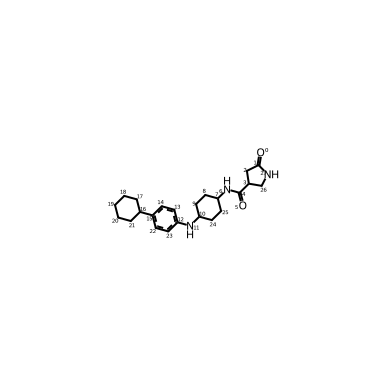 O=C1CC(C(=O)NC2CCC(Nc3ccc(C4CCCCC4)cc3)CC2)CN1